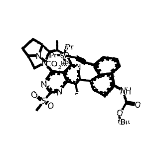 CC1Oc2nc(-c3ccc(NC(=O)OC(C)(C)C)c4cccc(C#C[Si](C(C)C)(C(C)C)C(C)C)c34)c(F)c3nc(S(C)(=O)=O)nc(c23)N2CC3CCC(C12)N3C(=O)O